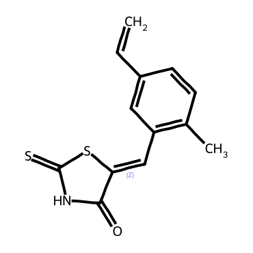 C=Cc1ccc(C)c(/C=C2\SC(=S)NC2=O)c1